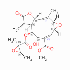 C=C1C(=O)O[C@@H]2/C=C(\C)[C@@H]3O[C@@H]3/C=C(/C(=O)OC)[C@H](O)[C@@H](OC(=O)[C@]3(C)O[C@@H]3C)[C@@H]12